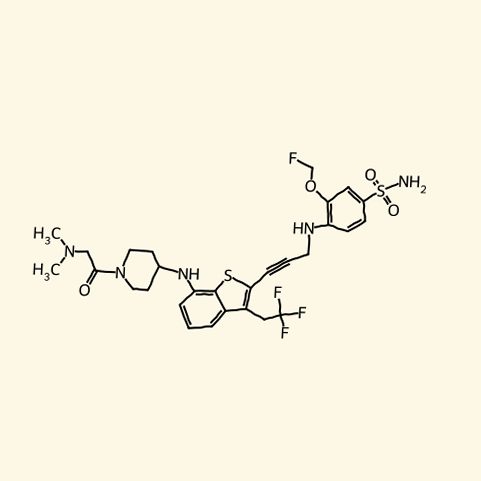 CN(C)CC(=O)N1CCC(Nc2cccc3c(CC(F)(F)F)c(C#CCNc4ccc(S(N)(=O)=O)cc4OCF)sc23)CC1